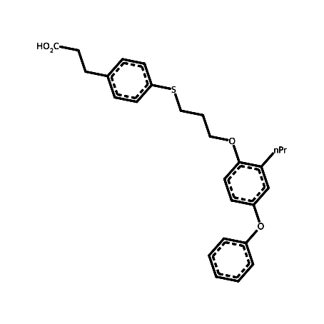 CCCc1cc(Oc2ccccc2)ccc1OCCCSc1ccc(CCC(=O)O)cc1